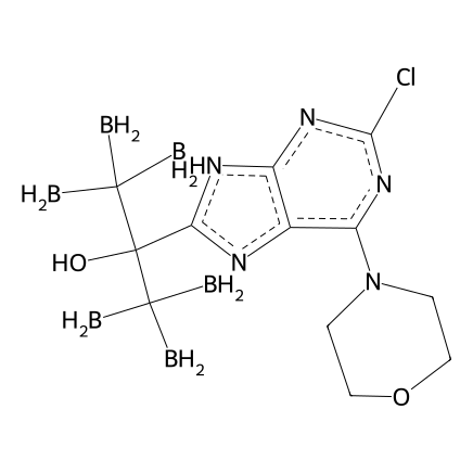 BC(B)(B)C(O)(c1nc2c(N3CCOCC3)nc(Cl)nc2[nH]1)C(B)(B)B